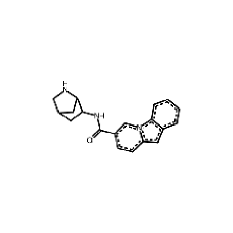 O=C(NC1CC2CNC1C2)c1ccc2cc3ccccc3n2c1